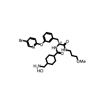 COCCCNC(=O)[C@H](Cc1cccc(Oc2ccc(Br)cn2)c1)NC(=O)C1CCC(CN)CC1.Cl